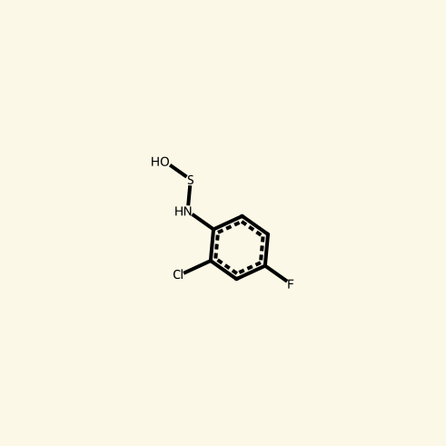 OSNc1ccc(F)cc1Cl